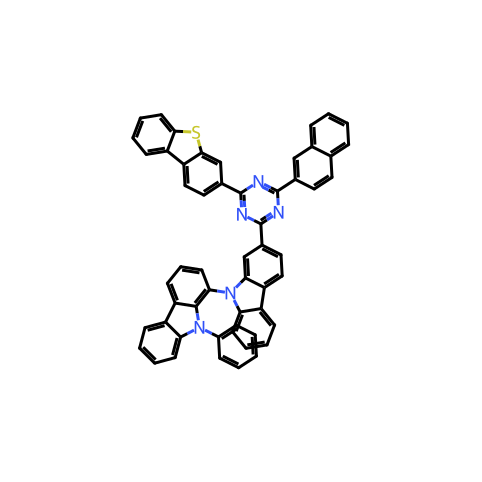 c1ccc(-n2c3ccccc3c3cccc(-n4c5ccccc5c5ccc(-c6nc(-c7ccc8ccccc8c7)nc(-c7ccc8c(c7)sc7ccccc78)n6)cc54)c32)cc1